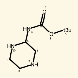 CC(C)(C)OC(=O)NC1CNCCN1